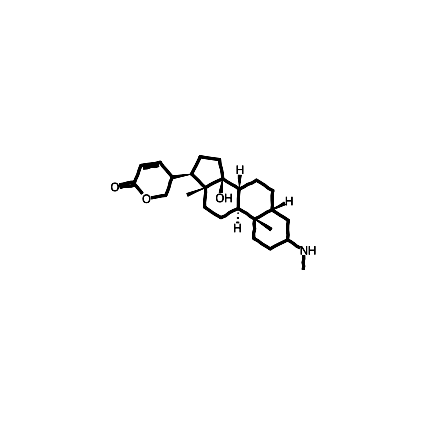 CNC1CC[C@@]2(C)[C@H](CC[C@@H]3[C@@H]2CC[C@]2(C)[C@@H](C4C=CC(=O)OC4)CC[C@]32O)C1